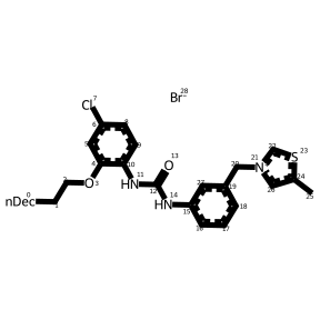 CCCCCCCCCCCCOc1cc(Cl)ccc1NC(=O)Nc1cccc(C[n+]2csc(C)c2)c1.[Br-]